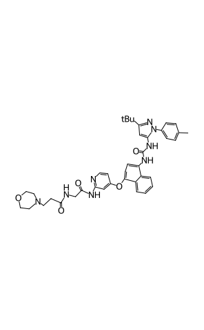 Cc1ccc(-n2nc(C(C)(C)C)cc2NC(=O)Nc2ccc(Oc3ccnc(NC(=O)CNC(=O)CCN4CCOCC4)c3)c3ccccc23)cc1